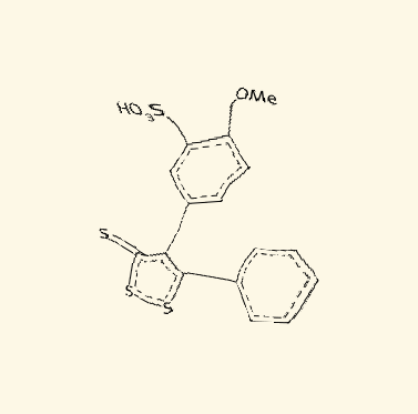 COc1ccc(-c2c(-c3ccccc3)ssc2=S)cc1S(=O)(=O)O